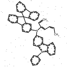 C=C/C(=C\C=C/C)N(c1ccc2c(c1)C1(c3ccccc3-c3ccccc31)c1ccccc1-2)c1ccc2c(c1)c1ccccc1n2-c1ccccc1